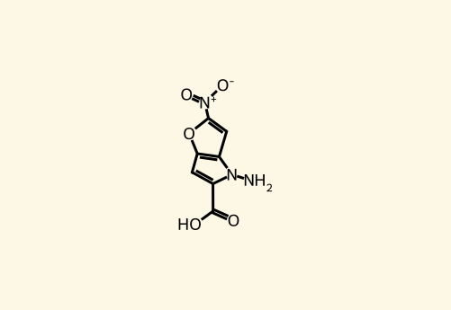 Nn1c(C(=O)O)cc2oc([N+](=O)[O-])cc21